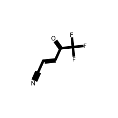 N#CC=CC(=O)C(F)(F)F